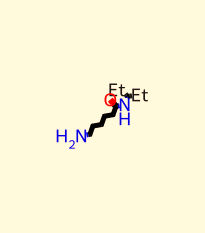 CCC(CC)NC(=O)CCCCCN